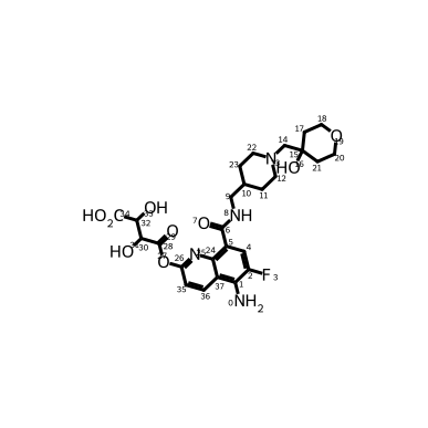 Nc1c(F)cc(C(=O)NCC2CCN(CC3(O)CCOCC3)CC2)c2nc(OC(=O)C(O)C(O)C(=O)O)ccc12